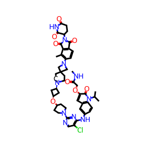 CNC(=O)COc1cc2cc(Nc3nc(N4CCC(O[C@H]5C[C@H](N6CCC7(CC6)CN(c6ccc8c(c6C)C(=O)N(C6CCC(=O)NC6=O)C8=O)C7)C5)CC4)ncc3Cl)ccc2n(C(C)C)c1=O